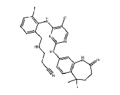 CC1(C)CCC(=O)Nc2cc(Nc3ncc(Cl)c(Nc4c(F)cccc4CNCCC#N)n3)ccc21